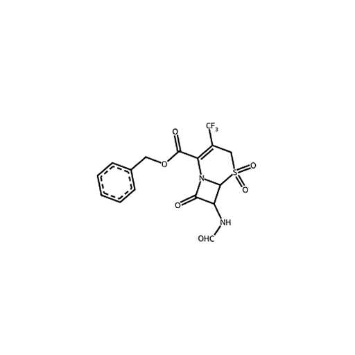 O=CNC1C(=O)N2C(C(=O)OCc3ccccc3)=C(C(F)(F)F)CS(=O)(=O)C12